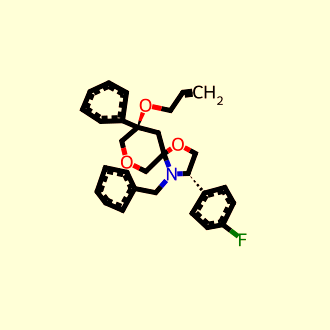 C=CCO[C@]1(c2ccccc2)COCC2(C1)OC[C@H](c1ccc(F)cc1)N2Cc1ccccc1